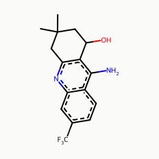 CC1(C)Cc2nc3cc(C(F)(F)F)ccc3c(N)c2C(O)C1